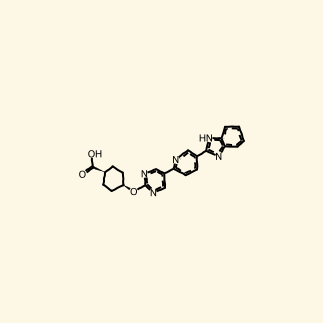 O=C(O)[C@H]1CC[C@@H](Oc2ncc(-c3ccc(-c4nc5ccccc5[nH]4)cn3)cn2)CC1